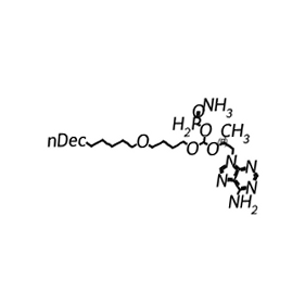 CCCCCCCCCCCCCCCOCCCCOC(O[PH2]=O)O[C@H](C)Cn1cnc2c(N)ncnc21.N